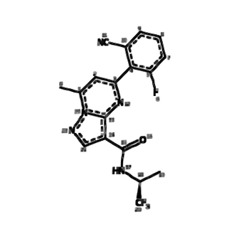 Cc1cc(-c2c(F)cccc2C#N)nc2c(C(=O)N[C@@H](C)C(F)(F)F)cnn12